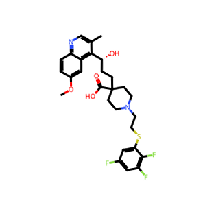 COc1ccc2ncc(C)c([C@H](O)CCC3(C(=O)O)CCN(CCSc4cc(F)cc(F)c4F)CC3)c2c1